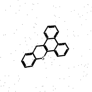 [CH]1c2ccccc2Sc2c1c1ccccc1c1ccccc21